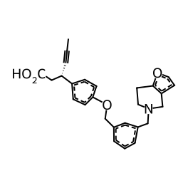 CC#C[C@@H](CC(=O)O)c1ccc(OCc2cccc(CN3CCc4occc4C3)c2)cc1